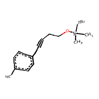 CC(C)(C)[Si](C)(C)OCCC#Cc1ccc(C#N)cc1